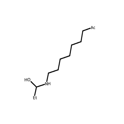 CCC(O)NCCCCCCCC(C)=O